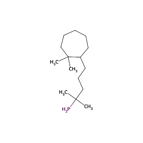 CC(C)(P)CCCC1CCCCCC1(C)C